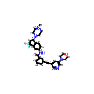 CN1CCN([C@@H]2CC(F)(F)c3cc(NC(=O)c4cccc(C#Cc5cncc(N6CCOCC6)c5)c4)ccc32)CC1